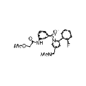 CNCc1cc(-c2ccccc2F)n([S+]([O-])c2cccc(NC(=O)COC)c2)c1